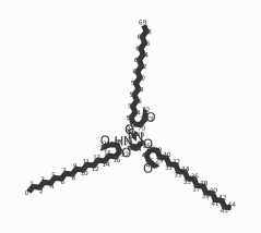 CCCCCCCCCCCCCCCCCC(CC1CO1)OC1=CC(OC(CCCCCCCCCCCCCCCCC)CC2CO2)=NN(OC(CCCCCCCCCCCCCCCCC)CC2CO2)N1